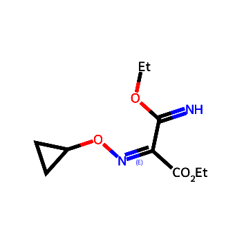 CCOC(=N)/C(=N\OC1CC1)C(=O)OCC